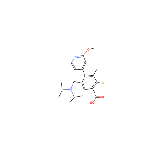 COc1cc(-c2c(CN(C(C)C)C(C)C)cc(C(=O)O)c(F)c2C)ccn1